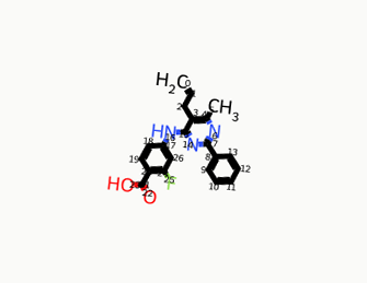 C=CCc1c(C)nc(-c2ccccc2)nc1Nc1ccc(C(=O)O)c(F)c1